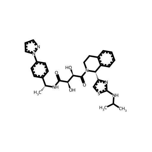 CC(C)Nc1nc([C@H]2c3ccccc3CCN2C(=O)[C@H](O)[C@@H](O)C(=O)N[C@H](C)c2ccc(-n3cccn3)cc2)cs1